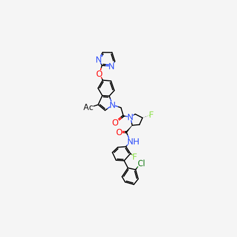 CC(=O)c1cn(CC(=O)N2C[C@H](F)C[C@H]2C(=O)Nc2cccc(-c3ccccc3Cl)c2F)c2ccc(Oc3ncccn3)cc12